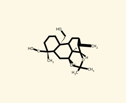 C=C1C2CC[C@@]34C(C2)[C@]2(CO)CCC[C@@](C)(CO)C2C[C@H]3OC(C)(C)O[C@@H]14